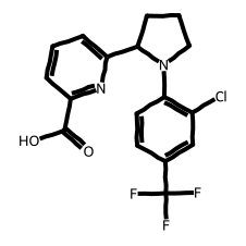 O=C(O)c1cccc(C2CCCN2c2ccc(C(F)(F)F)cc2Cl)n1